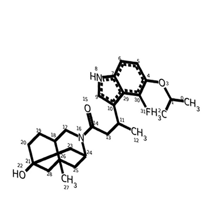 CC(C)Oc1ccc2[nH]cc(C(C)CC(=O)N3CC4CCC5(O)CC3CC4(C)C5)c2c1F